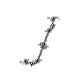 C/C(=C\c1cc(F)c(Oc2ccc(S(=O)(=O)NCCOCCOCCOCCNC(=O)C(O)C(O)C(=O)NCCOCCOCCOCCNS(=O)(=O)c3ccc(Oc4c(F)cc(/C=C(\C)C(=O)N=C(N)N)cc4F)cc3)cc2)c(F)c1)C(=O)N=C(N)N